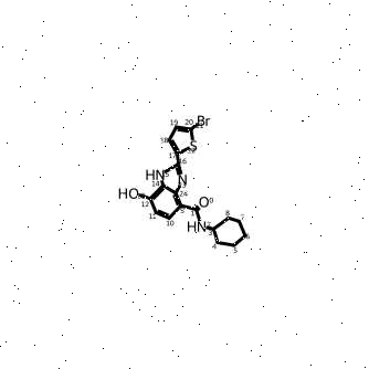 O=C(NC1CCCCC1)c1ccc(O)c2[nH]c(-c3ccc(Br)s3)nc12